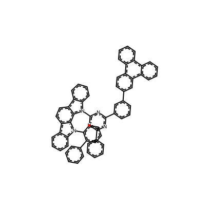 c1ccc(-c2nc(-c3cccc(-c4ccc5c6ccccc6c6ccccc6c5c4)c3)nc(-n3c4ccccc4c4ccc5c6ccccc6n(-c6ccccc6-c6ccccc6)c5c43)n2)cc1